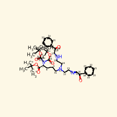 CC(C)(C)OC(=O)C(CCCN(CC/N=C/C(=O)c1ccccc1)CCNCC(=O)c1ccccc1)N(C(=O)OC(C)(C)C)C(=O)OC(C)(C)C